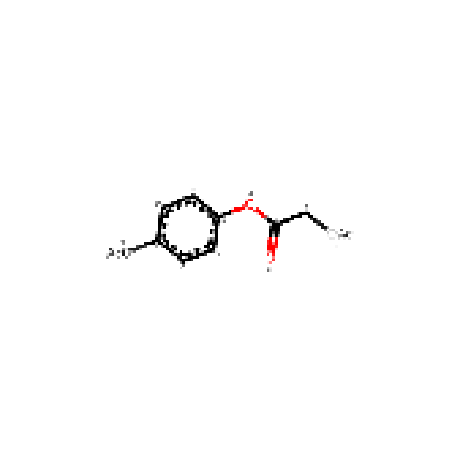 CC(=O)OCC(=O)Oc1ccc(OC(C)=O)cc1